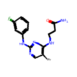 CC(C)c1cnc(Nc2cccc(F)c2)nc1NCCC(N)=O